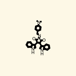 CN(C)c1ccc(/C=N/N2C(=O)C(c3c[nH]c4ccccc34)=C(c3c[nH]c4ccccc34)C2=O)cc1